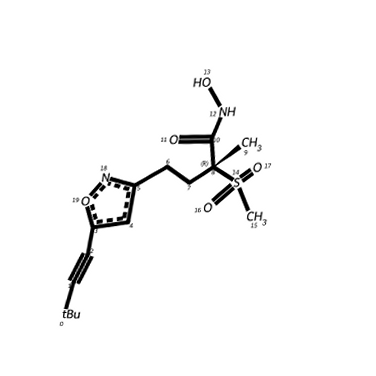 CC(C)(C)C#Cc1cc(CC[C@](C)(C(=O)NO)S(C)(=O)=O)no1